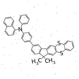 CC1(C)c2ccc(-c3ccc(N(c4ccccc4)c4cccc5ccccc45)cc3)cc2-c2cc3c(cc21)Sc1ccccc1S3